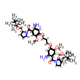 COc1cc(C(=O)N2CCC[C@H]2CO[Si](C)(C)C(C)(C)C)c(N)cc1OCCCOc1cc(N)c(C(=O)N2CCC[C@H]2CO[Si](C)(C)C(C)(C)C)cc1OC